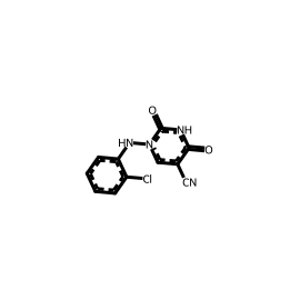 N#Cc1cn(Nc2ccccc2Cl)c(=O)[nH]c1=O